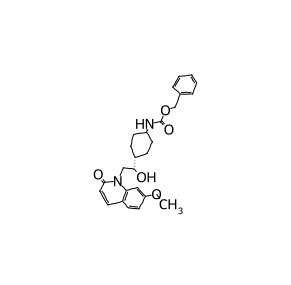 COc1ccc2ccc(=O)n(CC(O)[C@H]3CC[C@H](NC(=O)OCc4ccccc4)CC3)c2c1